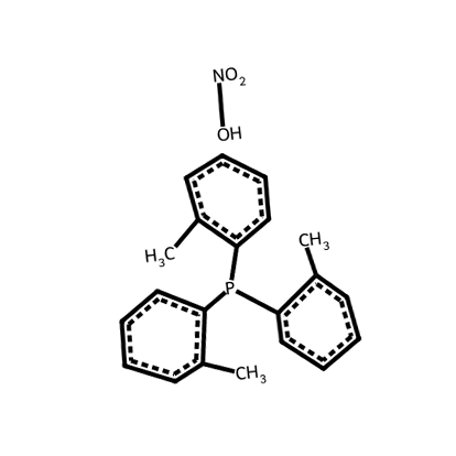 Cc1ccccc1P(c1ccccc1C)c1ccccc1C.O=[N+]([O-])O